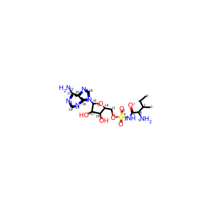 CCC(C)C(N)C(=O)NS(=O)(=O)OCC1OC(n2cnc3c(N)ncnc32)C(O)C1O